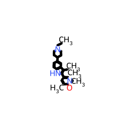 CCCN1CCC(c2ccc3[nH]c(-c4cc(C)c(=O)n(C)c4)c(C(C)C)c3c2)CC1